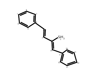 [SiH3]C(C=Cc1ccccc1)=Cc1ccccc1